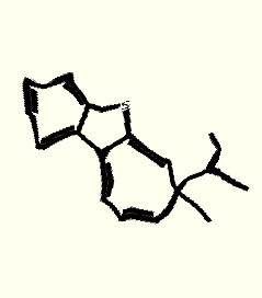 CC(C)C1(C)C=CC=c2c(sc3ccccc23)=C1